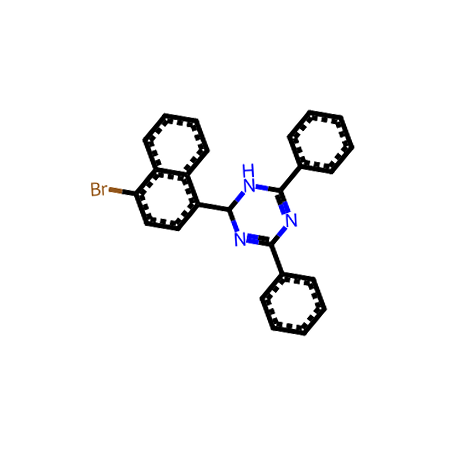 Brc1ccc(C2N=C(c3ccccc3)N=C(c3ccccc3)N2)c2ccccc12